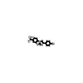 O=C(O)c1ccc2c(c1)sc1nc(-c3ccc(Br)cc3)cn12